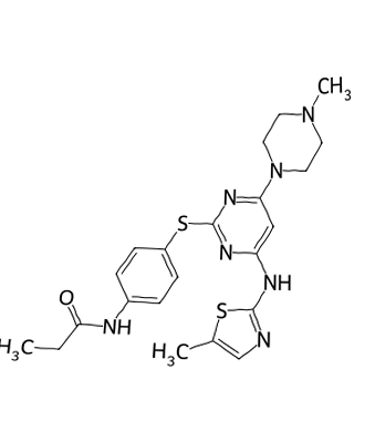 CCC(=O)Nc1ccc(Sc2nc(Nc3ncc(C)s3)cc(N3CCN(C)CC3)n2)cc1